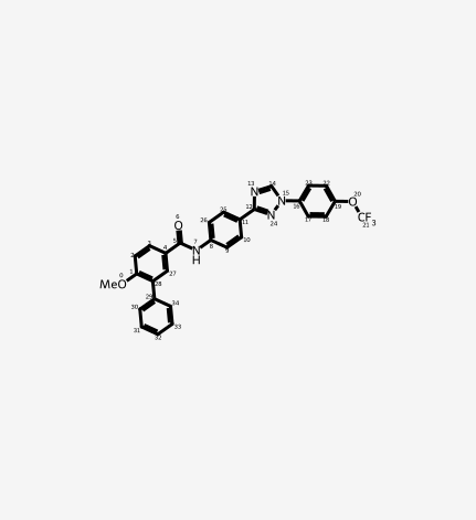 COc1ccc(C(=O)Nc2ccc(-c3ncn(-c4ccc(OC(F)(F)F)cc4)n3)cc2)cc1-c1ccccc1